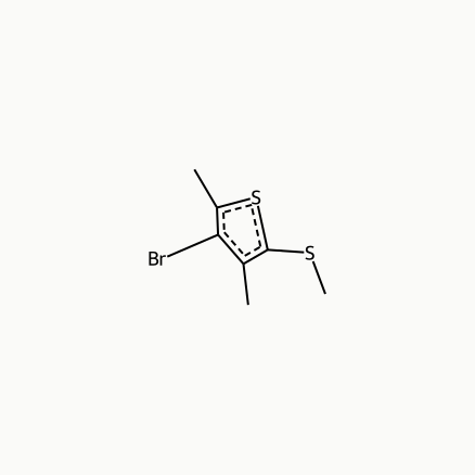 CSc1sc(C)c(Br)c1C